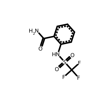 NC(=O)c1ccccc1NS(=O)(=O)C(F)(F)F